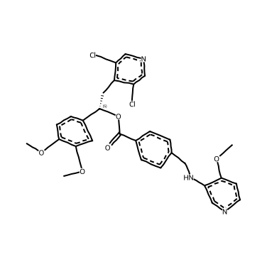 COc1ccncc1NCc1ccc(C(=O)O[C@@H](Cc2c(Cl)cncc2Cl)c2ccc(OC)c(OC)c2)cc1